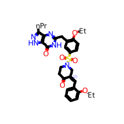 CCCc1n[nH]c2c(=O)[nH]c(Cc3cc(S(=O)(=O)N4CCC(=O)/C(=C\c5ccccc5OCC)C4)ccc3OCC)nc12